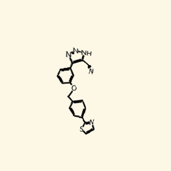 N#Cc1[nH]nnc1-c1cccc(OCc2ccc(-c3nccs3)cc2)c1